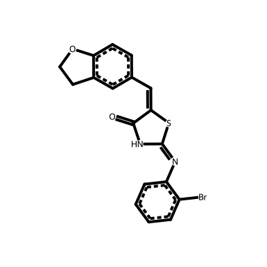 O=C1NC(=Nc2ccccc2Br)SC1=Cc1ccc2c(c1)CCO2